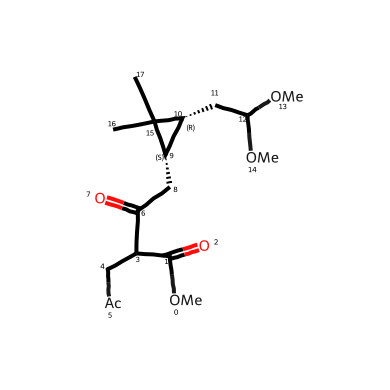 COC(=O)C(CC(C)=O)C(=O)C[C@H]1[C@@H](CC(OC)OC)C1(C)C